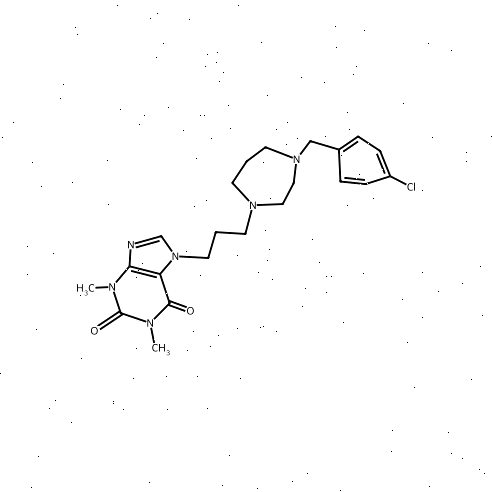 Cn1c(=O)c2c(ncn2CCCN2CCCN(Cc3ccc(Cl)cc3)CC2)n(C)c1=O